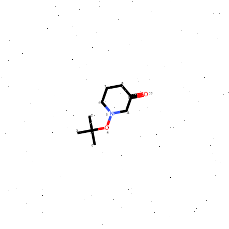 CC(C)(C)ON1CCCC(=O)C1